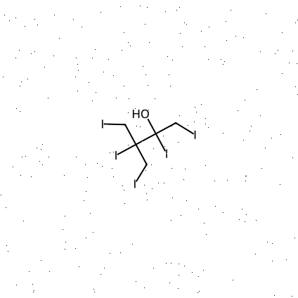 OC(I)(CI)C(I)(CI)CI